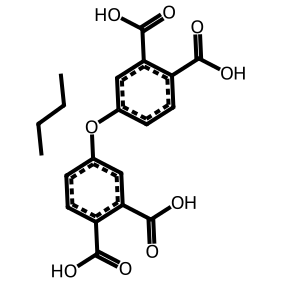 CCCC.O=C(O)c1ccc(Oc2ccc(C(=O)O)c(C(=O)O)c2)cc1C(=O)O